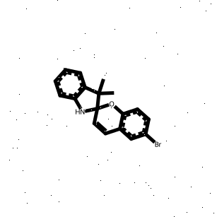 CC1(C)c2ccccc2NC12C=Cc1cc(Br)ccc1O2